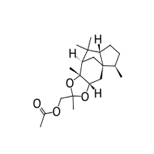 CC(=O)OCC1(C)O[C@H]2C[C@@]34C[C@H](C(C)(C)[C@@H]3CC[C@H]4C)[C@@]2(C)O1